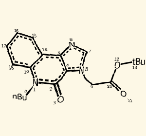 CCCCn1c(=O)c2c(ncn2CC(=O)OC(C)(C)C)c2ccccc21